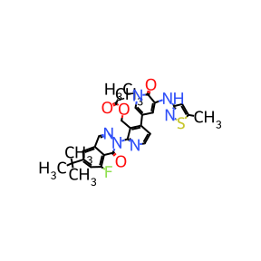 CC(=O)OCc1c(-c2cc(Nc3cc(C)sn3)c(=O)n(C)c2)ccnc1-n1ncc2cc(C(C)(C)C)cc(F)c2c1=O